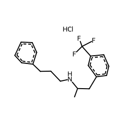 CC(Cc1cccc(C(F)(F)F)c1)NCCCc1ccccc1.Cl